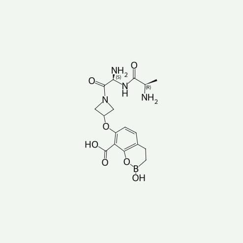 C[C@@H](N)C(=O)N[C@H](N)C(=O)N1CC(Oc2ccc3c(c2C(=O)O)OB(O)CC3)C1